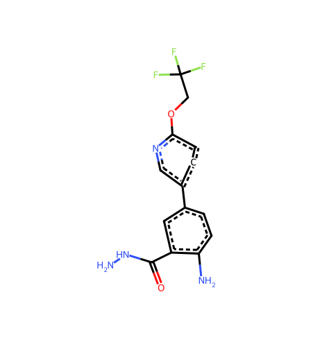 NNC(=O)c1cc(-c2ccc(OCC(F)(F)F)nc2)ccc1N